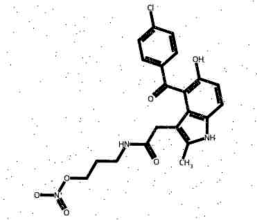 Cc1[nH]c2ccc(O)c(C(=O)c3ccc(Cl)cc3)c2c1CC(=O)NCCCO[N+](=O)[O-]